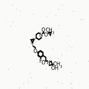 CC1(O)CN(C(=O)Cc2ccc(OCC[C@@H]3C[C@@H]3C3CCN(C(=O)OC4(C)CC4)CC3)cc2F)C1